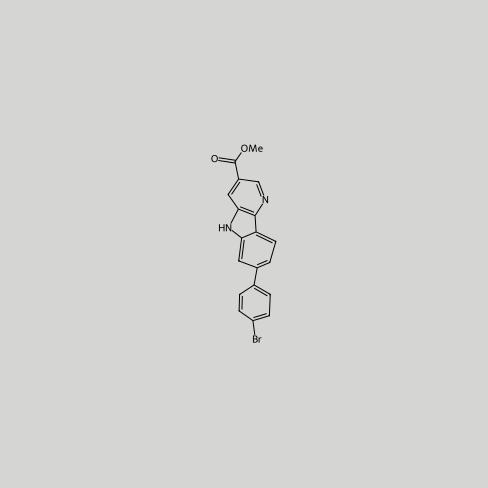 COC(=O)c1cnc2c(c1)[nH]c1cc(-c3ccc(Br)cc3)ccc12